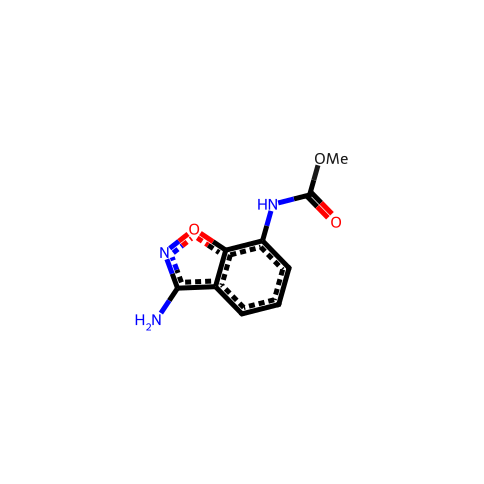 COC(=O)Nc1cccc2c(N)noc12